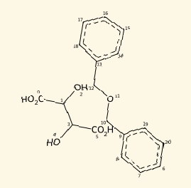 O=C(O)C(O)C(O)C(=O)O.c1ccc(COCc2ccccc2)cc1